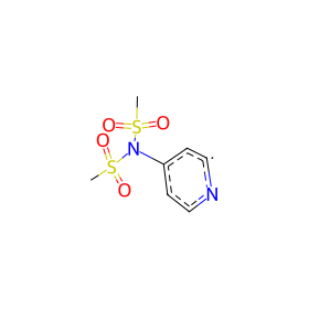 CS(=O)(=O)N(c1c[c]ncc1)S(C)(=O)=O